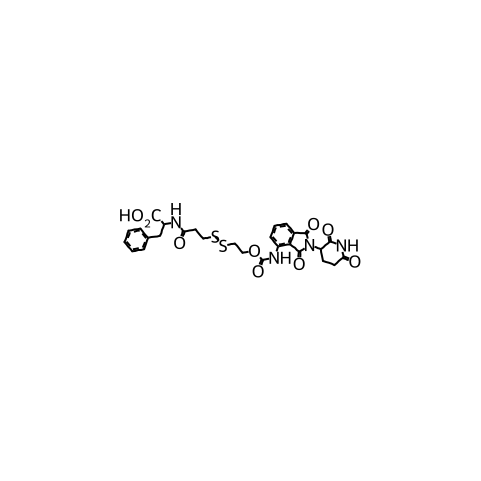 O=C1CCC(N2C(=O)c3cccc(NC(=O)OCCSSCCC(=O)NC(Cc4ccccc4)C(=O)O)c3C2=O)C(=O)N1